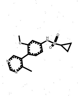 COc1cc(NS(=O)(=O)C2CC2)ccc1-c1cncnc1C